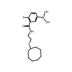 O=C(NCCSC1CCCCCCC1)c1cc(B(O)O)ccc1F